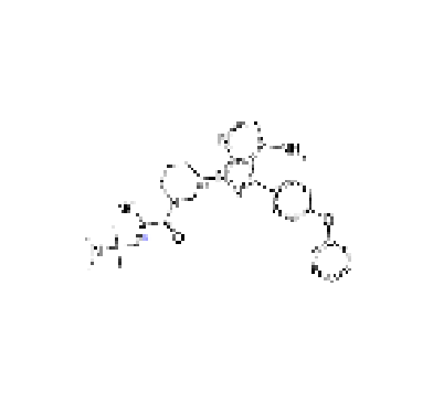 CN(C)C(C)(C)/C=C(\C#N)C(=O)N1CCC[C@@H](n2nc(-c3ccc(Oc4ccccc4)cc3)c3c(N)ncnc32)C1